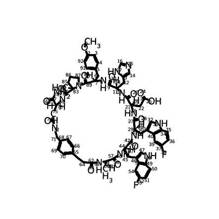 COc1ccc(C[C@@H]2NC(=O)[C@H](Cc3cnc[nH]3)NC(=O)[C@H](CC(=O)O)NC(=O)[C@H](Cc3c[nH]c4ccc(F)cc34)NC(=O)[C@H](Cc3c[nH]c4ccc(F)cc34)NC(=O)[C@@H](C)NC(=O)Cc3ccc(cc3)CNC(=O)C[C@@H](C(N)=O)NC(=O)[C@]3(C)CCCN3C2=O)cc1